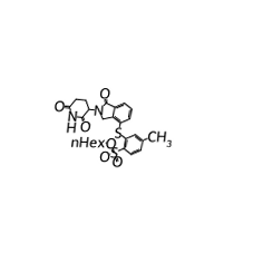 CCCCCCOS(=O)(=O)c1ccc(C)cc1Sc1cccc2c1CN(C1CCC(=O)NC1=O)C2=O